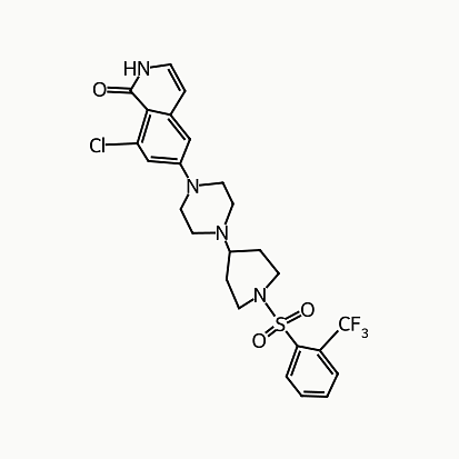 O=c1[nH]ccc2cc(N3CCN(C4CCN(S(=O)(=O)c5ccccc5C(F)(F)F)CC4)CC3)cc(Cl)c12